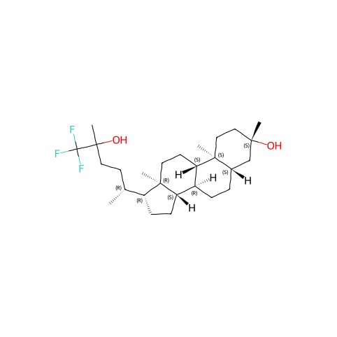 C[C@H](CCC(C)(O)C(F)(F)F)[C@H]1CC[C@H]2[C@@H]3CC[C@H]4C[C@@](C)(O)CC[C@]4(C)[C@H]3CC[C@]12C